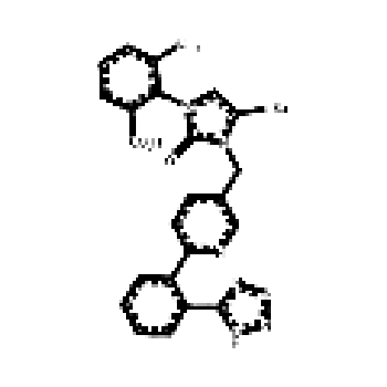 CCCCc1cn(-c2c(C)cccc2C(=O)O)c(=O)n1Cc1ccc(-c2ccccc2-c2nnn[nH]2)nc1